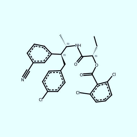 CC[C@H](OC(=O)c1c(Cl)cccc1Cl)C(=O)N[C@@H](C)[C@@H](Cc1ccc(Cl)cc1)c1cccc(C#N)c1